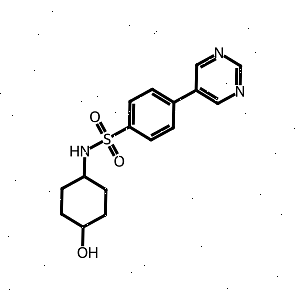 O=S(=O)(NC1CCC(O)CC1)c1ccc(-c2cncnc2)cc1